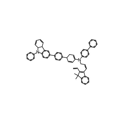 C=CC1=C(/C=C\CN(C2=CCC(c3ccc(-c4ccc5c(c4)C4C=CC=CC4N5c4ccccc4)cc3)C=C2)c2ccc(-c3ccccc3)cc2)c2ccccc2C1(C)C